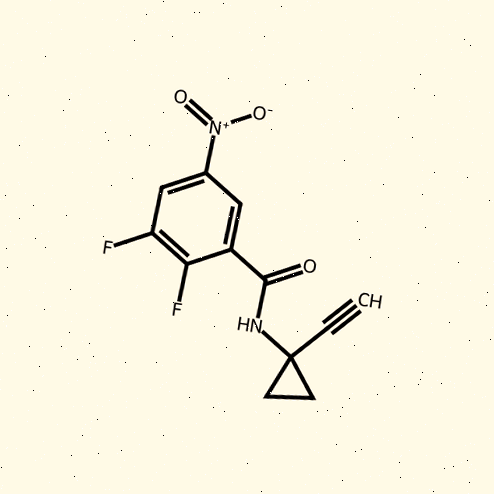 C#CC1(NC(=O)c2cc([N+](=O)[O-])cc(F)c2F)CC1